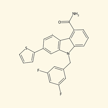 NC(=O)c1cccc2c1c1[c]cc(-c3cccs3)cc1n2Cc1cc(F)cc(F)c1